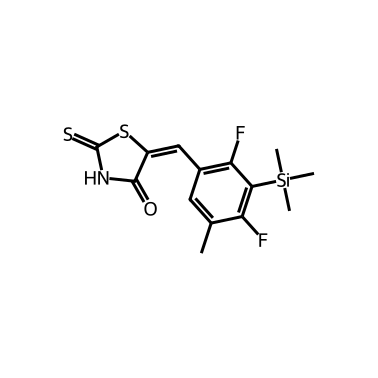 Cc1cc(C=C2SC(=S)NC2=O)c(F)c([Si](C)(C)C)c1F